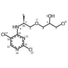 C[C@@H](COCC(O)CCl)Nc1nc(Cl)ncc1Cl